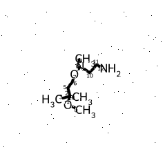 COC(C)(C)CCON(C)CCN